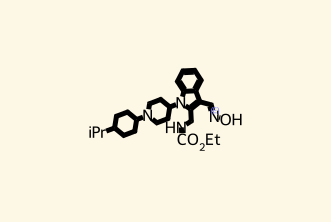 CCOC(=O)NCc1c(/C=N/O)c2ccccc2n1C1CCN(C2CCC(C(C)C)CC2)CC1